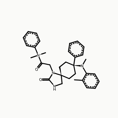 Cc1ccccc1N(C)[C@]1(c2ccccc2)CC[C@@]2(CC1)CNC(=O)N2CC(=O)[N+](C)(C)c1ccccc1